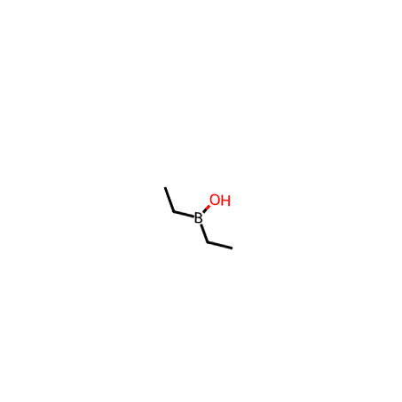 CCB(O)CC